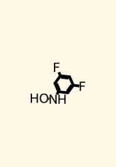 ONc1cc(F)cc(F)c1